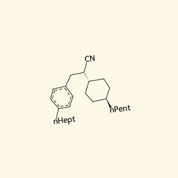 CCCCCCCc1ccc(CC(C#N)[C@H]2CC[C@H](CCCCC)CC2)cc1